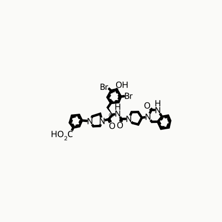 O=C(O)c1cccc(N2CCN(C(=O)[C@@H](Cc3cc(Br)c(O)c(Br)c3)NC(=O)N3CCC(N4Cc5ccccc5NC4=O)CC3)CC2)c1